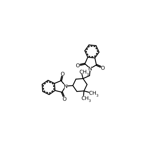 CC1(C)CC(N2C(=O)c3ccccc3C2=O)CC(C)(CN2C(=O)c3ccccc3C2=O)C1